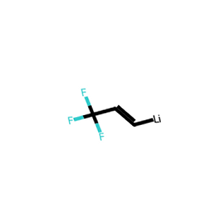 [Li][CH]=CC(F)(F)F